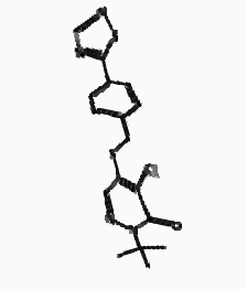 CC(C)(C)n1ncc(SCc2ccc(-c3ncns3)cc2)c(Cl)c1=O